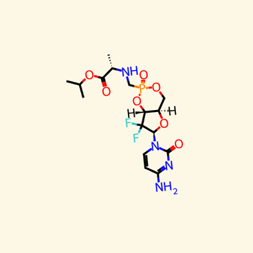 CC(C)OC(=O)[C@H](C)NCP1(=O)OC[C@H]2O[C@@H](n3ccc(N)nc3=O)C(F)(F)[C@@H]2O1